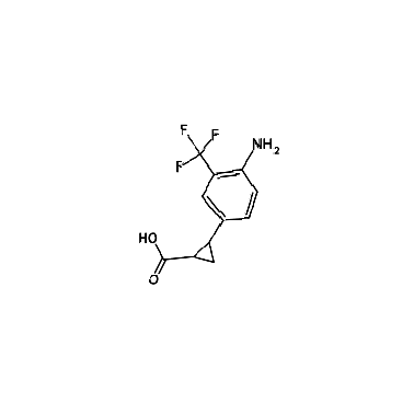 Nc1ccc(C2CC2C(=O)O)cc1C(F)(F)F